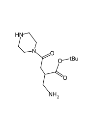 CC(C)(C)OC(=O)C(CN)CC(=O)N1CCNCC1